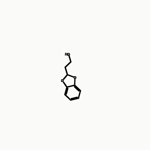 OCCC1Oc2ccccc2O1